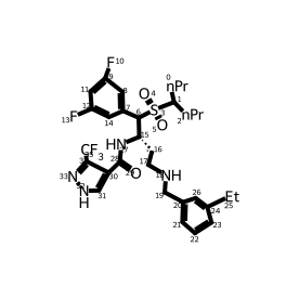 CCCC(CCC)S(=O)(=O)C(c1cc(F)cc(F)c1)[C@H]([CH]CNCc1cccc(CC)c1)NC(=O)c1c[nH]nc1C(F)(F)F